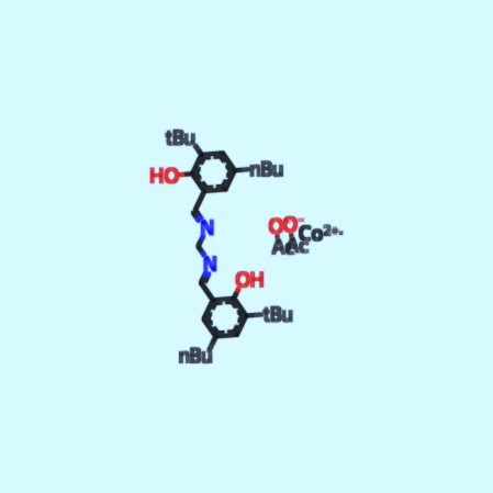 CC(=O)[O-].CC(=O)[O-].CCCCc1cc(C=NCN=Cc2cc(CCCC)cc(C(C)(C)C)c2O)c(O)c(C(C)(C)C)c1.[Co+2]